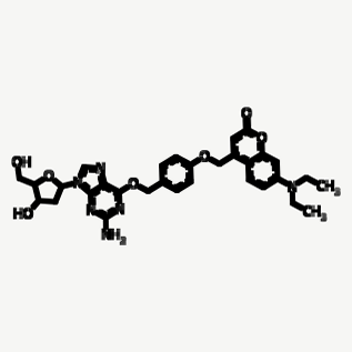 CCN(CC)c1ccc2c(COc3ccc(COc4nc(N)nc5c4ncn5C4CC(O)C(CO)O4)cc3)cc(=O)oc2c1